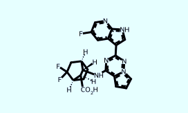 O=C(O)[C@@H]1[C@@H](Nc2nc(-c3c[nH]c4ncc(F)cc34)nn3cccc23)[C@@H]2CC[C@H]1C(F)(F)C2